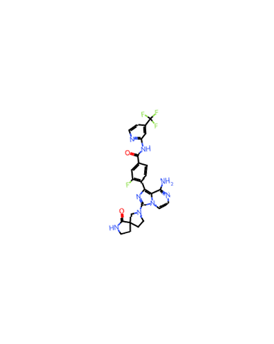 Nc1nccn2c(N3CCC4(CCNC4=O)C3)nc(-c3ccc(C(=O)Nc4cc(C(F)(F)F)ccn4)cc3F)c12